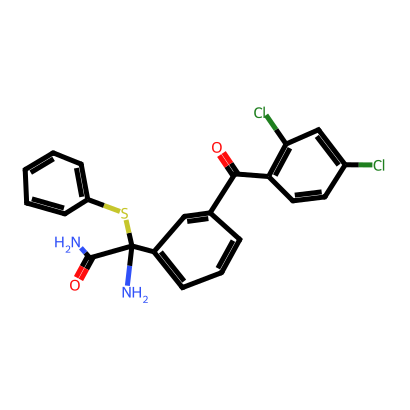 NC(=O)C(N)(Sc1ccccc1)c1cccc(C(=O)c2ccc(Cl)cc2Cl)c1